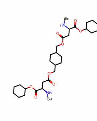 CCC(C)NC(CC(=O)OCC1CCC(COC(=O)CC(NC(C)CC)C(=O)OC2CCCCC2)CC1)C(=O)OC1CCCCC1